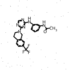 CC(=O)Nc1cccc(Nc2ncnc(N3CCc4ccc(C(F)(F)F)cc4C3)n2)c1